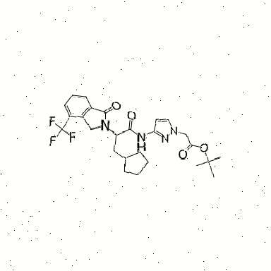 CC(C)(C)OC(=O)Cn1ccc(NC(=O)C(CC2CCCC2)N2Cc3c(cccc3C(F)(F)F)C2=O)n1